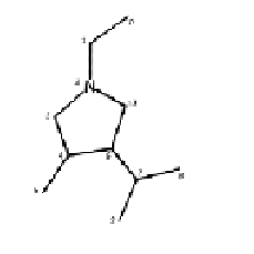 CCN1CC(C)C(C(C)C)C1